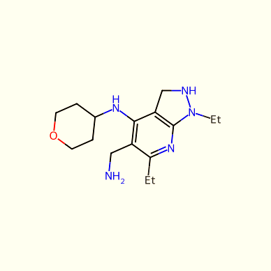 CCc1nc2c(c(NC3CCOCC3)c1CN)CNN2CC